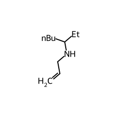 C=CCNC(CC)CCCC